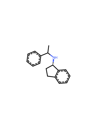 CC(N[C@@H]1CCc2ccccc21)c1ccccc1